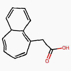 O=C(O)CC1=C2C=CC=CC2C=CC=C1